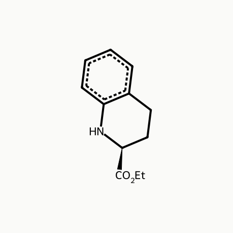 CCOC(=O)[C@@H]1CCc2ccccc2N1